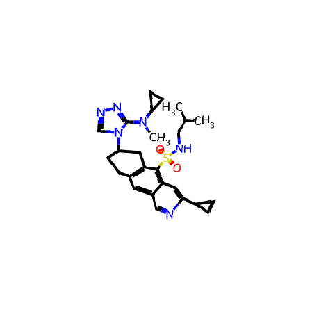 CC(C)CNS(=O)(=O)c1c2c(cc3cnc(C4CC4)cc13)CCC(n1cnnc1N(C)C1CC1)C2